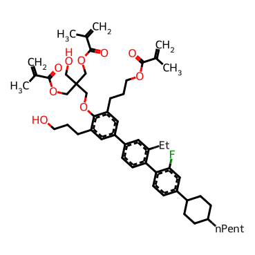 C=C(C)C(=O)OCCCc1cc(-c2ccc(-c3ccc(C4CCC(CCCCC)CC4)cc3F)c(CC)c2)cc(CCCO)c1OCC(CO)(COC(=O)C(=C)C)COC(=O)C(=C)C